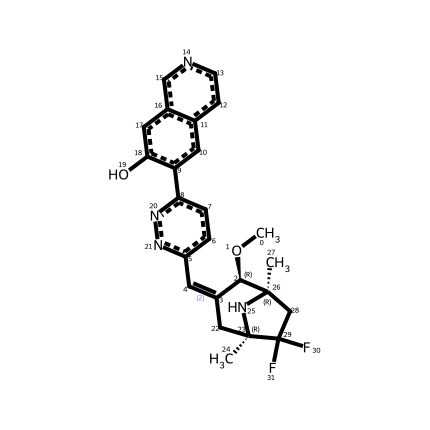 CO[C@@H]1/C(=C\c2ccc(-c3cc4ccncc4cc3O)nn2)C[C@@]2(C)N[C@]1(C)CC2(F)F